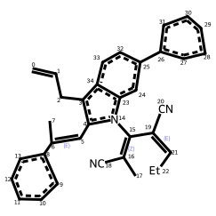 C=CCc1c(/C=C(\C)c2ccccc2)n(C(=C(/C)C#N)/C(C#N)=C\CC)c2cc(-c3ccccc3)ccc12